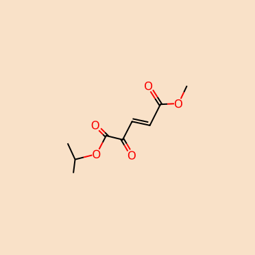 COC(=O)/C=C/C(=O)C(=O)OC(C)C